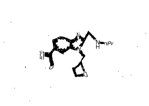 CCCNCc1nc2ccc(C(=O)CC)cc2n1C[C@@H]1CCO1